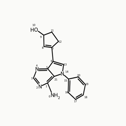 Nc1ncnc2c(C3=CC(O)CC3)cn(-c3ccccc3)c12